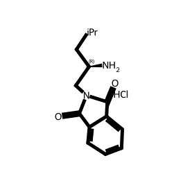 CC(C)C[C@@H](N)CN1C(=O)c2ccccc2C1=O.Cl